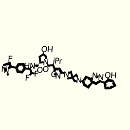 CC(C)[C@@H](C(=O)N1C[C@H](O)C[C@H]1C(=O)N[C@H](c1ccc(-c2c(F)cnn2C)cc1)C(F)F)c1cc(N2CC3(CN(c4ccc5cc(-c6ccccc6O)nnc5c4)C3)C2)no1